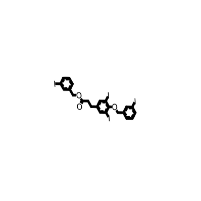 O=C(CCc1cc(I)c(OCc2cccc(I)c2)c(I)c1)OCc1cccc(I)c1